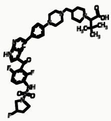 CC(C)(C)C(C(=O)O)N1CCC(CN2CCN(c3ccc(-c4cnc5[nH]cc(C(=O)c6c(F)ccc(NS(=O)(=O)N7CCC(F)C7)c6F)c5c4)cc3)CC2)CC1